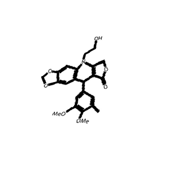 COc1cc(C2C3=C(COC3=O)N(CCO)c3cc4c(cc32)OCO4)cc(C)c1OC